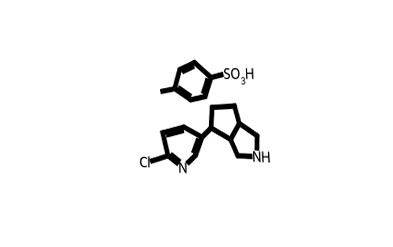 Cc1ccc(S(=O)(=O)O)cc1.Clc1ccc(C2CCC3CNCC32)cn1